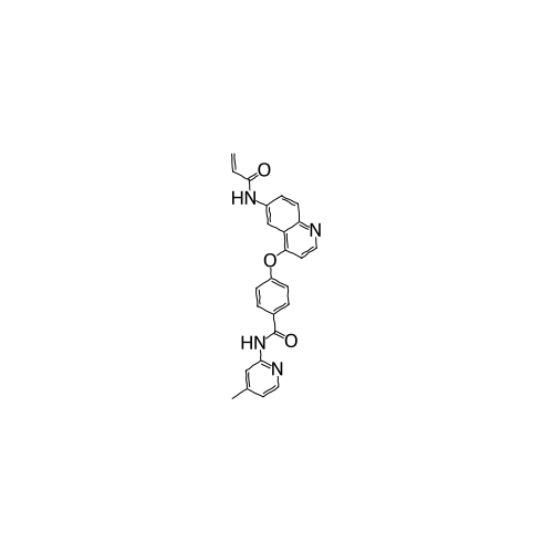 C=CC(=O)Nc1ccc2nccc(Oc3ccc(C(=O)Nc4cc(C)ccn4)cc3)c2c1